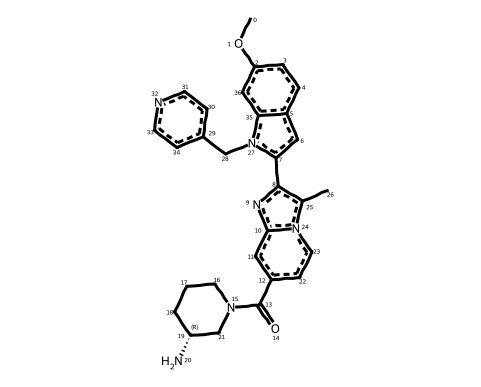 COc1ccc2cc(-c3nc4cc(C(=O)N5CCC[C@@H](N)C5)ccn4c3C)n(Cc3ccncc3)c2c1